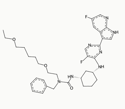 CCOCCCCCOCCN(Cc1ccccc1)C(=O)N[C@H]1CCC[C@@H](Nc2nc(-c3c[nH]c4ncc(F)cc34)ncc2F)C1